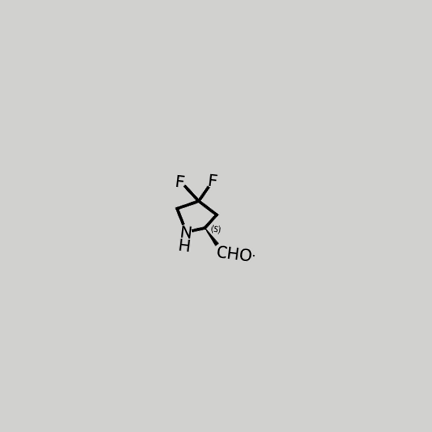 O=[C][C@@H]1CC(F)(F)CN1